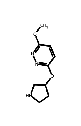 COc1ccc(OC2CCNC2)nn1